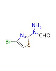 NN(C=O)c1nc(Br)cs1